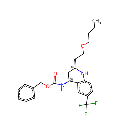 CCCCOCC[C@@H]1C[C@H](NC(=O)OCc2ccccc2)c2cc(C(F)(F)F)ccc2N1